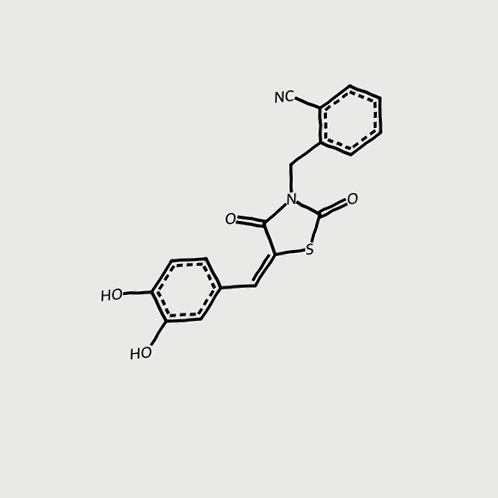 N#Cc1ccccc1CN1C(=O)S/C(=C/c2ccc(O)c(O)c2)C1=O